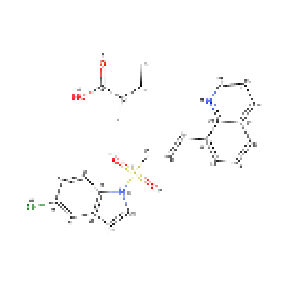 CCC(C)C(=O)O.O=S(=O)(CC=Cc1cccc2cccnc12)n1ccc2cc(Cl)ccc21